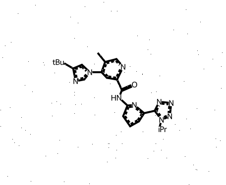 Cc1cnc(C(=O)Nc2cccc(-c3nnnn3C(C)C)n2)cc1-n1cnc(C(C)(C)C)c1